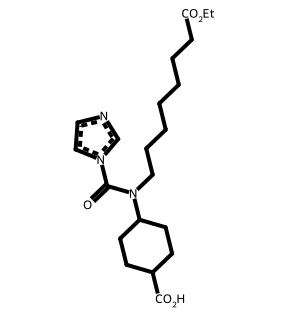 CCOC(=O)CCCCCCCN(C(=O)n1ccnc1)C1CCC(C(=O)O)CC1